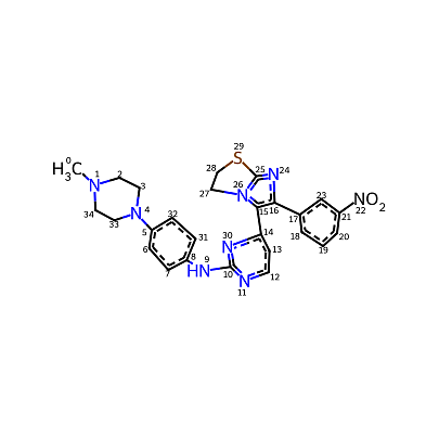 CN1CCN(c2ccc(Nc3nccc(-c4c(-c5cccc([N+](=O)[O-])c5)nc5n4CCS5)n3)cc2)CC1